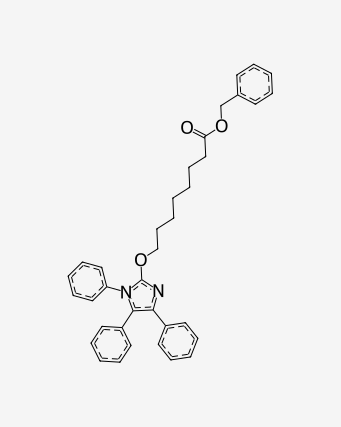 O=C(CCCCCCCOc1nc(-c2ccccc2)c(-c2ccccc2)n1-c1ccccc1)OCc1ccccc1